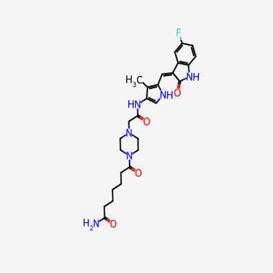 Cc1c(NC(=O)CN2CCN(C(=O)CCCCCC(N)=O)CC2)c[nH]c1C=C1C(=O)Nc2ccc(F)cc21